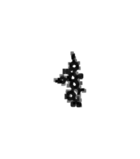 C#Cc1ccc2c(c1)[nH]c1c2c(=O)c2cc(C(C)C)c(-c3cncc(S(=O)(=O)F)c3)cc2n1C1CN(C)C1